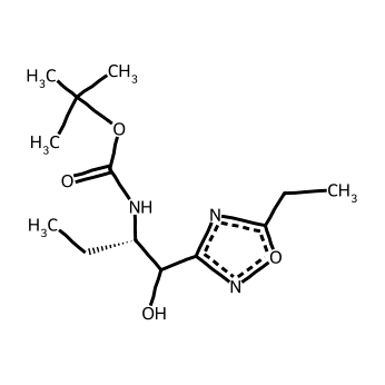 CCc1nc(C(O)[C@H](CC)NC(=O)OC(C)(C)C)no1